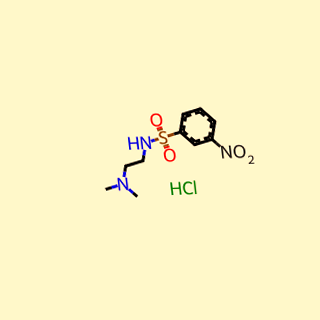 CN(C)CCNS(=O)(=O)c1cccc([N+](=O)[O-])c1.Cl